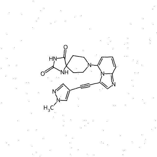 Cn1cc(C#Cc2cnc3cccc(N4CCC5(CC4)NC(=O)NC5=O)n23)cn1